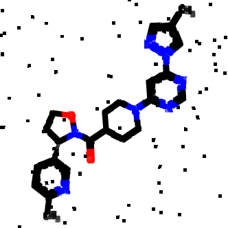 Cc1cnn(-c2cc(N3CCC(C(=O)N4OCC[C@H]4c4ccc(C)nc4)CC3)ncn2)c1